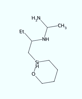 CCC(C[SiH]1CCCCO1)NC(C)N